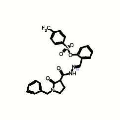 O=C(N/N=C/c1ccccc1OS(=O)(=O)c1ccc(C(F)(F)F)cc1)C1CCN(Cc2ccccc2)C1=O